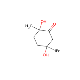 CC(C)C1(O)CCC(C)(O)C(=O)C1